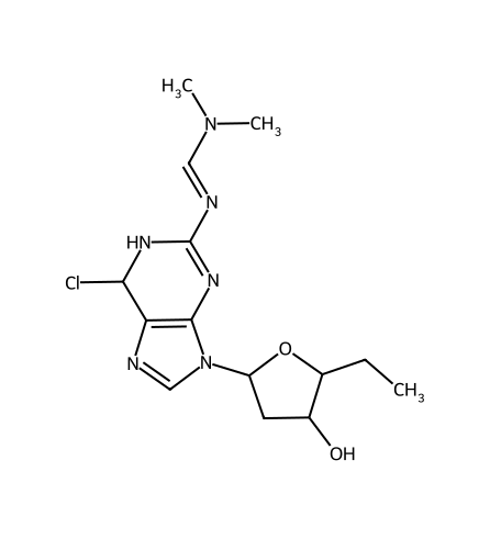 CCC1OC(n2cnc3c2N=C(/N=C/N(C)C)NC3Cl)CC1O